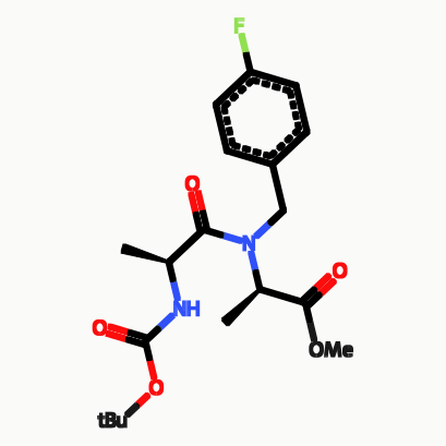 COC(=O)[C@@H](C)N(Cc1ccc(F)cc1)C(=O)[C@H](C)NC(=O)OC(C)(C)C